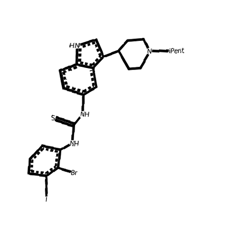 CCCC(C)N1CCC(c2c[nH]c3ccc(NC(=S)Nc4cccc(I)c4Br)cc23)CC1